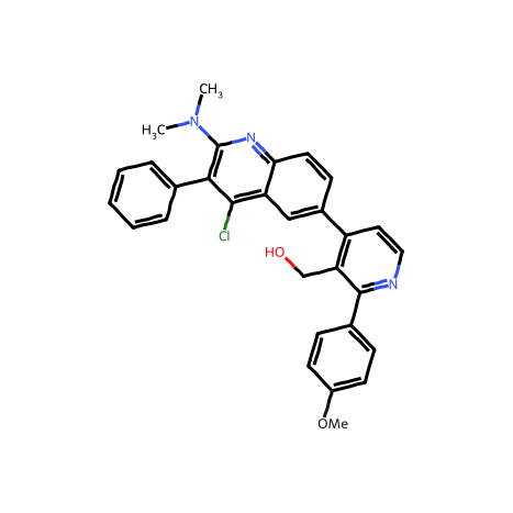 COc1ccc(-c2nccc(-c3ccc4nc(N(C)C)c(-c5ccccc5)c(Cl)c4c3)c2CO)cc1